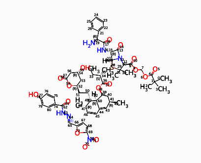 CC(C)(C)C(=O)OCOC(=O)[C@@H]1N2C(=O)[C@@H](NC(=O)[C@H](N)c3ccccc3)[C@H]2SC1(C)C.CC[C@H](C)C(=O)O[C@H]1C[C@@H](C)C=C2C=C[C@H](C)[C@H](CC[C@@H]3C[C@@H](O)CC(=O)O3)[C@H]21.O=C(N/N=C/c1ccc([N+](=O)[O-])o1)c1ccc(O)cc1